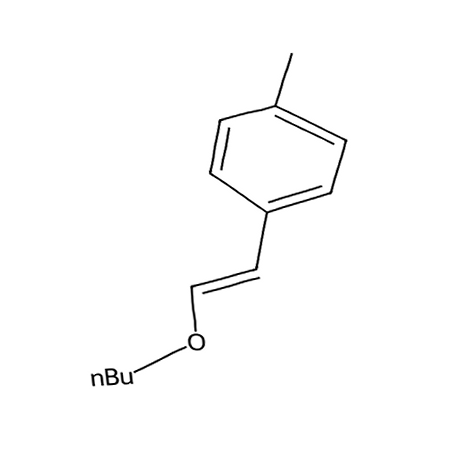 CCCCOC=Cc1ccc(C)cc1